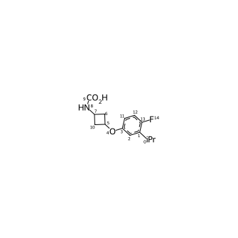 CC(C)c1cc(OC2CC(NC(=O)O)C2)ccc1F